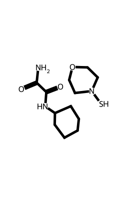 NC(=O)C(=O)NC1CCCCC1.SN1CCOCC1